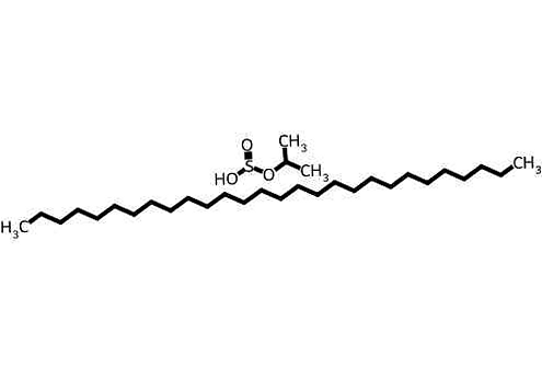 CC(C)OS(=O)O.CCCCCCCCCCCCCCCCCCCCCCCCCCCC